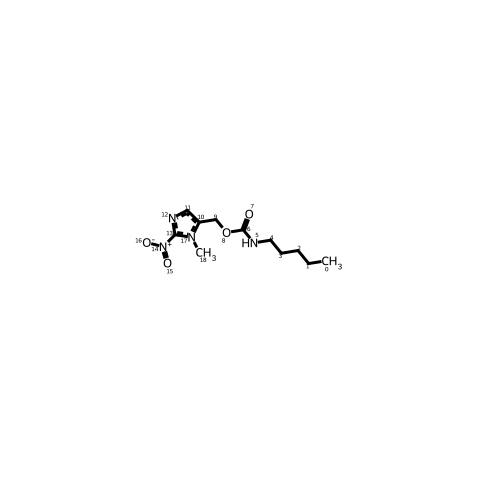 CCCCCNC(=O)OCc1cnc([N+](=O)[O-])n1C